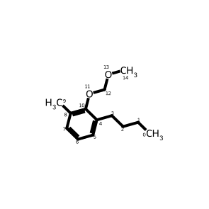 CCCCc1cccc(C)c1OCOC